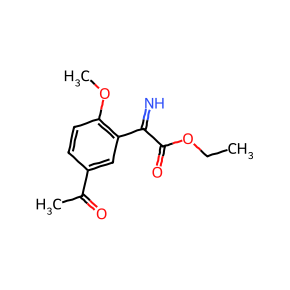 CCOC(=O)C(=N)c1cc(C(C)=O)ccc1OC